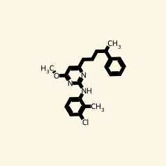 COc1cc(CCCC(C)c2ccccc2)nc(Nc2cccc(Cl)c2C)n1